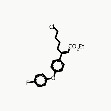 CCOC(=O)C=C(CCCCCl)c1ccc(Oc2ccc(F)cc2)cc1